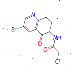 O=C(CCl)NC1CCc2ncc(Br)cc2C1=O